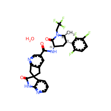 C[C@@H]1[C@H](c2c(F)ccc(F)c2F)C[C@H](NC(=O)c2cnc3c(c2)CC2(C3)C(=O)Nc3ncccc32)C(=O)N1CC(F)(F)F.O